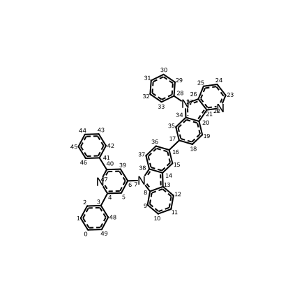 c1ccc(-c2cc(-n3c4ccccc4c4cc(-c5ccc6c7ncccc7n(-c7ccccc7)c6c5)ccc43)cc(-c3ccccc3)n2)cc1